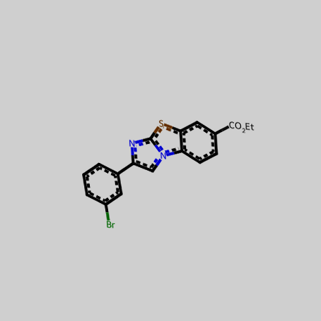 CCOC(=O)c1ccc2c(c1)sc1nc(-c3cccc(Br)c3)cn12